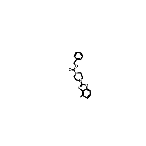 O=C(OCc1ccccc1)N1CCN(c2nc3c(I)cccc3o2)CC1